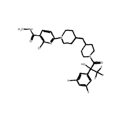 CNC(=O)c1ccc(N2CCC(CC3CCN(C(=O)C(O)(c4cc(F)cc(F)c4)C(F)(F)F)CC3)CC2)nc1Cl